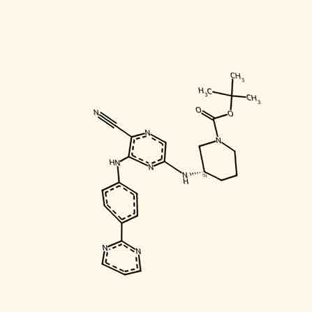 CC(C)(C)OC(=O)N1CCC[C@H](Nc2cnc(C#N)c(Nc3ccc(-c4ncccn4)cc3)n2)C1